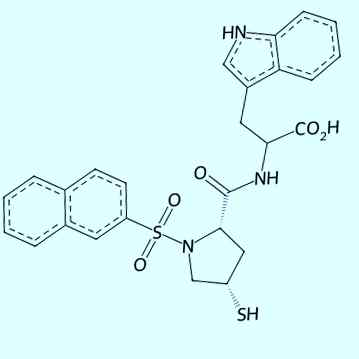 O=C(O)C(Cc1c[nH]c2ccccc12)NC(=O)[C@@H]1C[C@H](S)CN1S(=O)(=O)c1ccc2ccccc2c1